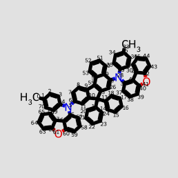 Cc1ccc(N(c2ccc3c(c2)C(c2ccccc2)(c2ccccc2)c2cc(N(c4ccc(C)cc4)c4cccc5oc6ccccc6c45)c4ccccc4c2-3)c2cccc3oc4ccccc4c23)cc1